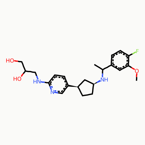 COc1cc(C(C)N[C@H]2CC[C@@H](c3ccc(NCC(O)CO)nc3)C2)ccc1F